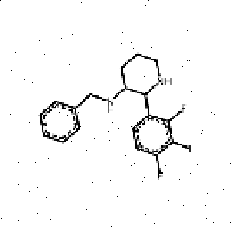 Fc1ccc(C2NCCCC2NCc2ccccc2)c(F)c1F